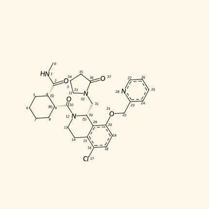 CNC(=O)[C@H]1CCCC[C@H]1C(=O)N1CCc2c(Cl)ccc(OCc3ccccn3)c2[C@H]1CN1CCCC1=O